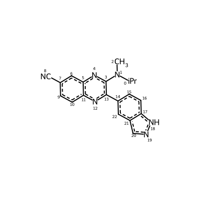 CC(C)N(C)c1nc2cc(C#N)ccc2nc1-c1ccc2[nH]ncc2c1